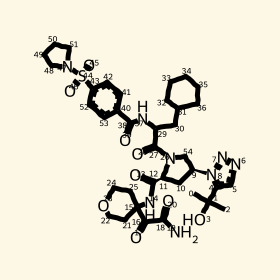 CC(C)(O)c1cnnn1[C@H]1C[C@@H](C(=O)NC2(C(=O)C(N)=O)CCOCC2)N(C(=O)C(CC2CCCCC2)NC(=O)c2ccc(S(=O)(=O)N3CCCC3)cc2)C1